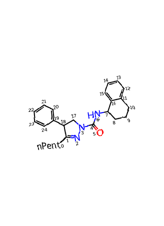 CCCCCC1=NN(C(=O)NC2CCCc3ccccc32)CC1c1ccccc1